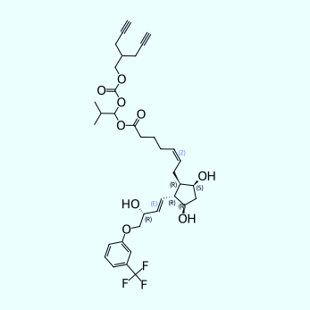 C#CCC(CC#C)COC(=O)OC(OC(=O)CCC/C=C\C[C@@H]1[C@@H](/C=C/[C@@H](O)COc2cccc(C(F)(F)F)c2)[C@H](O)C[C@@H]1O)C(C)C